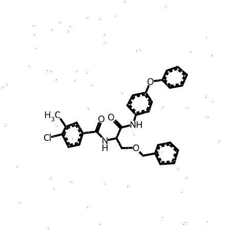 Cc1cc(C(=O)NC(COCc2ccccc2)C(=O)Nc2ccc(Oc3ccccc3)cc2)ccc1Cl